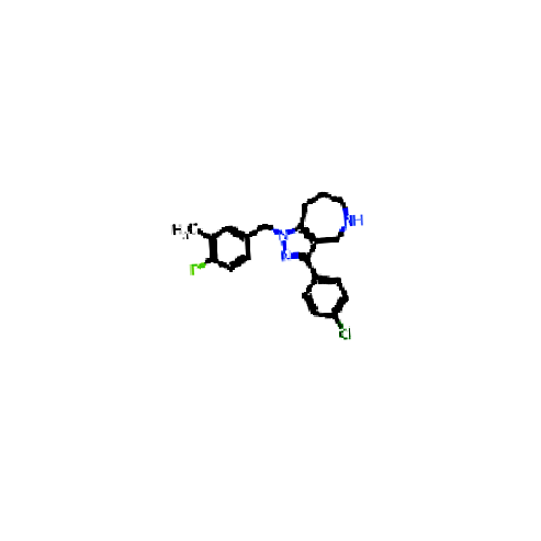 Cc1cc(Cn2nc(-c3ccc(Cl)cc3)c3c2CCCNC3)ccc1F